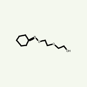 OCCOCCON=C1CCCCC1